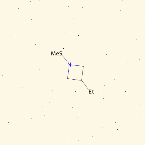 CCC1CN(SC)C1